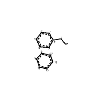 CCc1ccccc1.c1ccccc1